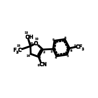 N#CC1=C(c2ccc(C(F)(F)F)cc2)OC(O)(C(F)(F)F)C1